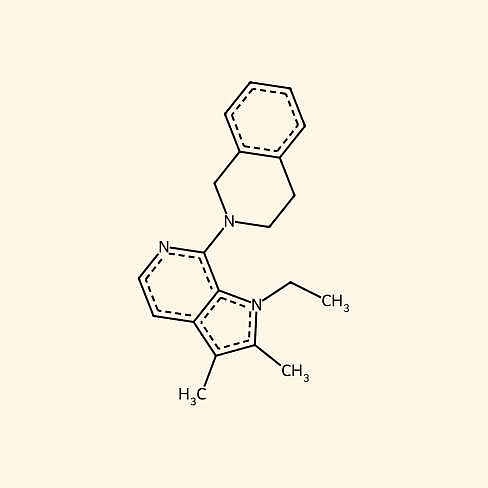 CCn1c(C)c(C)c2ccnc(N3CCc4ccccc4C3)c21